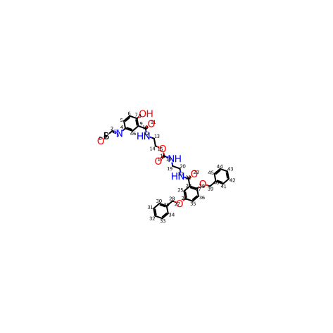 O=B/C=N/c1ccc(O)c(C(=O)NCCOC(=O)NCCNC(=O)c2cc(OCc3ccccc3)ccc2OCc2ccccc2)c1